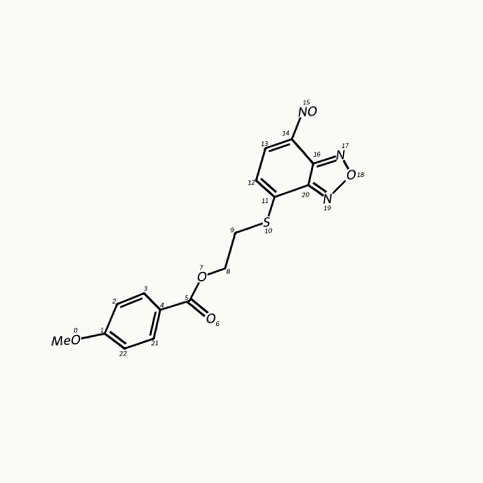 COc1ccc(C(=O)OCCSc2ccc(N=O)c3nonc23)cc1